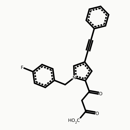 O=C(O)C(=O)CC(=O)c1cc(C#Cc2ccccc2)cn1Cc1ccc(F)cc1